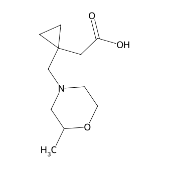 CC1CN(CC2(CC(=O)O)CC2)CCO1